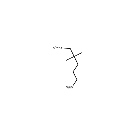 CCCCCCC(C)(C)CCCNC